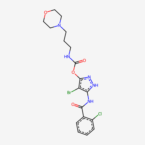 O=C(NCCCN1CCOCC1)Oc1n[nH]c(NC(=O)c2ccccc2Cl)c1Br